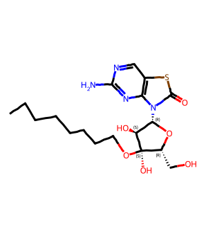 CCCCCCCCO[C@]1(O)[C@@H](CO)O[C@@H](n2c(=O)sc3cnc(N)nc32)[C@@H]1O